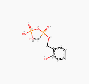 COP(=O)(OCc1ccccc1O)OP(=O)(O)O